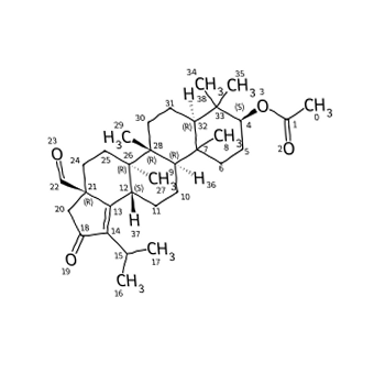 CC(=O)O[C@H]1CCC2(C)[C@H]3CC[C@@H]4C5=C(C(C)C)C(=O)C[C@]5(C=O)CC[C@@]4(C)[C@]3(C)CC[C@H]2C1(C)C